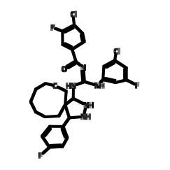 O=C(/N=C(/Nc1cc(F)cc(Cl)c1)NC1NNC(c2ccc(F)cc2)C12CCCCCCCC2)c1ccc(Cl)c(F)c1